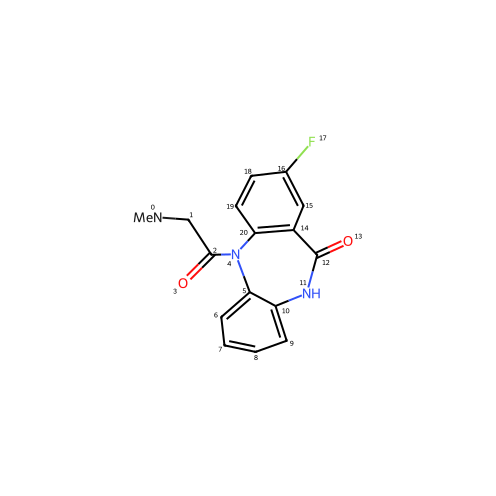 CNCC(=O)N1c2ccccc2NC(=O)c2cc(F)ccc21